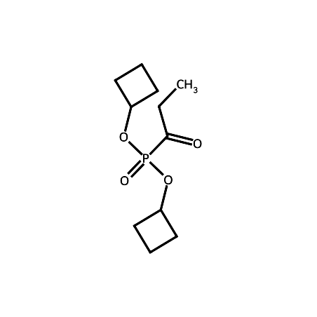 CCC(=O)P(=O)(OC1CCC1)OC1CCC1